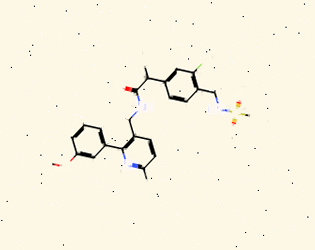 CCOc1cccc(-c2nc(C(F)(F)F)ccc2CNC(=O)C(C)c2ccc(CNS(C)(=O)=O)c(F)c2)c1